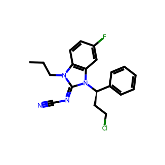 CCCn1c(=NC#N)n([C@H](CCCl)c2ccccc2)c2cc(F)ccc21